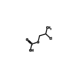 CC(Cl)COS(=O)O